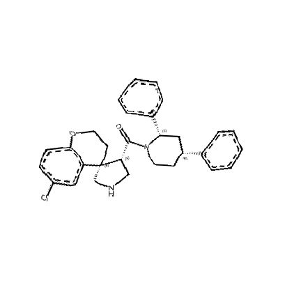 O=C([C@@H]1CNC[C@]12CCOc1ccc(Cl)cc12)N1CC[C@@H](c2ccccc2)C[C@H]1c1ccccc1